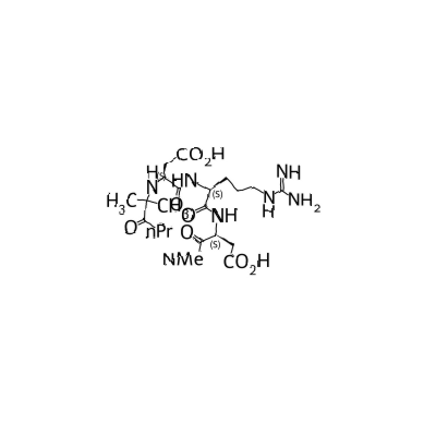 CCCC(=O)C(C)(C)N[C@@H](CC(=O)O)C(=O)N[C@@H](CCCNC(=N)N)C(=O)N[C@@H](CC(=O)O)C(=O)NC